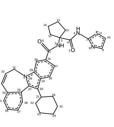 O=C(NC1(C(=O)Nc2nccs2)CCCC1)c1ccc2c(C3CCCCC3)c3n(c2c1)CC=Cc1ccccc1-3